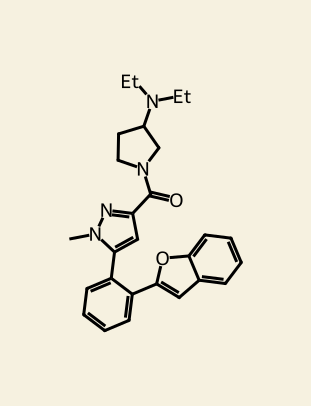 CCN(CC)C1CCN(C(=O)c2cc(-c3ccccc3-c3cc4ccccc4o3)n(C)n2)C1